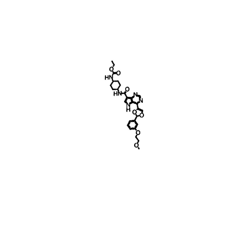 CCOC(=O)NC1CCC(NC(=O)c2c[nH]c3c(C4=COC(c5cccc(OCCOC)c5)O4)ncnc23)CC1